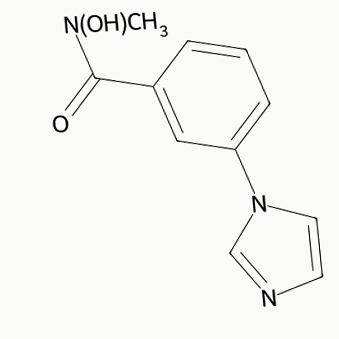 CN(O)C(=O)c1cccc(-n2ccnc2)c1